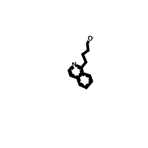 [O]CCCCc1nccc2ccccc12